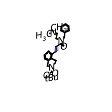 CN(C)CCN(Cc1ccccc1)C(=O)/C=C/c1cccc2c1CCN(C(=O)OC(C)(C)C)C2